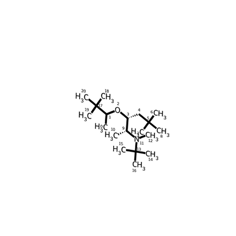 CC(O[C@H](CC(C)(C)C)[C@@H](C)N(C)C(C)(C)C)C(C)(C)C